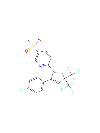 CS(=O)(=O)c1ccc(C2=CC(C(F)(F)F)(C(F)(F)F)C=C2c2ccc(F)cc2)nc1